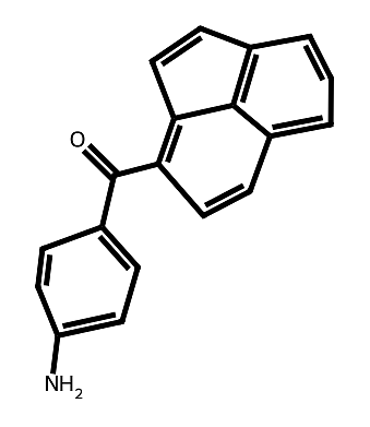 Nc1ccc(C(=O)c2ccc3cccc4c3c2C=C4)cc1